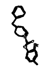 Cc1ccc(OC(=O)N2CCC(Cc3ccccc3)CC2)c(Br)c1